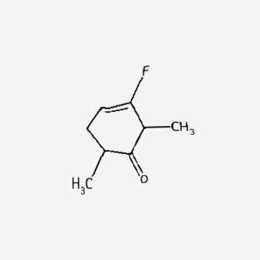 CC1CC=C(F)C(C)C1=O